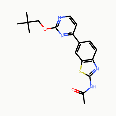 CC(=O)Nc1nc2ccc(-c3ccnc(OCC(C)(C)C)n3)cc2s1